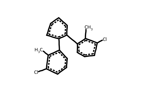 Cc1c(Cl)cccc1-c1ccccc1-c1cccc(Cl)c1C